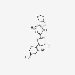 Cc1c(NC(=O)NCc2c(C(F)(F)F)[nH]c3c2CCN(C)C3)sc2c1CCC2